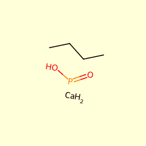 CCCC.O=PO.[CaH2]